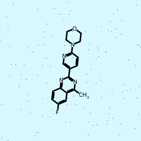 Cc1nc(-c2ccc(N3CCOCC3)nc2)nc2ccc(F)cc12